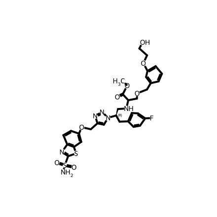 COC(=O)C(COCc1cccc(OCCO)c1)NC[C@@H](Cc1ccc(F)cc1)n1cc(COc2ccc3nc(S(N)(=O)=O)sc3c2)nn1